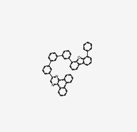 c1ccc(-c2cccc3c2oc2c(-c4cccc(-c5cccc(-c6cccc(-c7cnc8c9ccccc9c9ccccc9c8n7)c6)c5)c4)cccc23)cc1